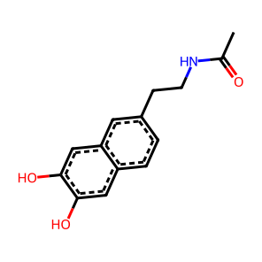 CC(=O)NCCc1ccc2cc(O)c(O)cc2c1